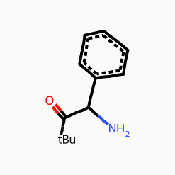 CC(C)(C)C(=O)C(N)c1ccccc1